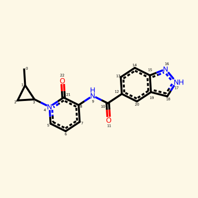 CC1CC1n1cccc(NC(=O)c2ccc3n[nH]cc3c2)c1=O